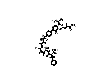 C/C(=C\[C@H](C(C)C)N(C)C(=O)[C@@H](NC(=O)[C@@H](N(C)C(=O)O)C(C)(C)c1ccccc1)C(C)(C)C)C(=O)NS(=O)(=O)c1ccc(NC(=O)[C@H](CCCNC(N)=O)NC(=O)[C@@H](N)C(C)C)cc1